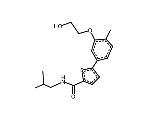 Cc1ccc(-c2ccc(C(=O)NCC(C)C)s2)cc1OCCO